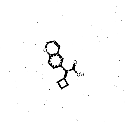 O=C(O)C(=C1[CH]CC1)c1ccc2c(c1)C=CCO2